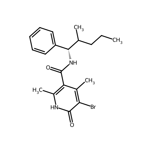 CCCC(C)[C@H](NC(=O)c1c(C)[nH]c(=O)c(Br)c1C)c1ccccc1